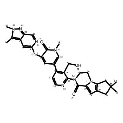 Cc1c2cc(Nc3cc(-c4ccnc(N5CCn6c(cc7c6CC(C)(C)C7)C5=O)c4CO)cn(C)c3=O)ncc2nn1C